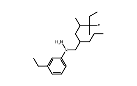 CCCC(CC(C)C(C)(F)CC)CN(N)c1cccc(CC)c1